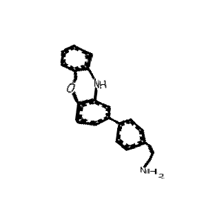 NCc1ccc(-c2ccc3c(c2)Nc2ccccc2O3)cc1